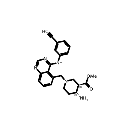 C#Cc1cccc(Nc2ncnc3cccc(CN4CC[C@@H](N)[C@H](C(=O)OC)C4)c23)c1